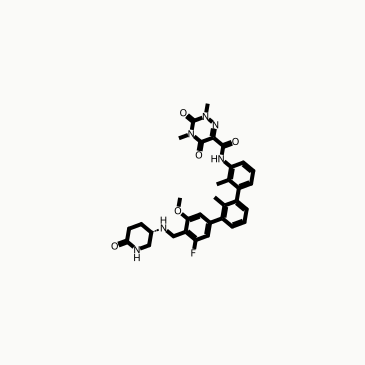 COc1cc(-c2cccc(-c3cccc(NC(=O)c4nn(C)c(=O)n(C)c4=O)c3C)c2C)cc(F)c1CN[C@H]1CCC(=O)NC1